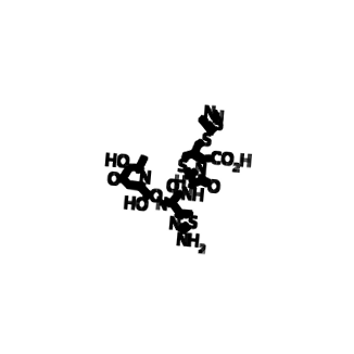 CC1=NC(C(O)O/N=C(\C(=O)NC2C(=O)N3C(C(=O)O)=C(CSc4cnns4)CS[C@@H]23)c2csc(N)n2)=CC(=O)C1O